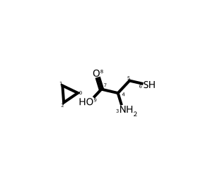 C1CC1.NC(CS)C(=O)O